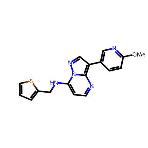 COc1ccc(-c2cnn3c(NCc4cccs4)ccnc23)cn1